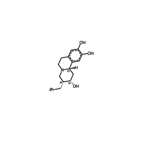 CC(C)C[C@@H]1CN2CCc3cc(O)c(O)cc3[C@@H]2C[C@@H]1O